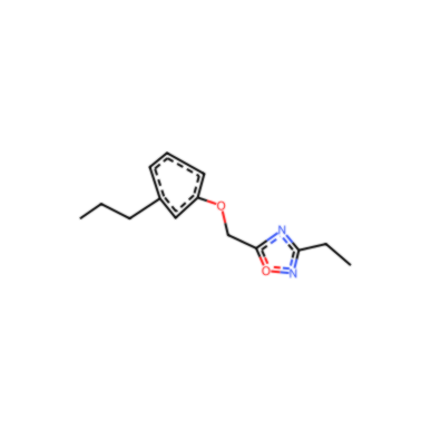 CCCc1cccc(OCc2nc(CC)no2)c1